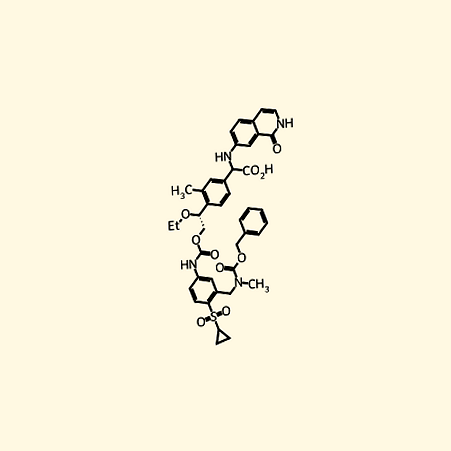 CCO[C@@H](COC(=O)Nc1ccc(S(=O)(=O)C2CC2)c(CN(C)C(=O)OCc2ccccc2)c1)c1ccc(C(Nc2ccc3cc[nH]c(=O)c3c2)C(=O)O)cc1C